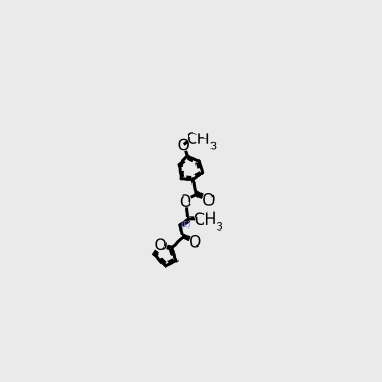 COc1ccc(C(=O)O/C(C)=C/C(=O)c2ccco2)cc1